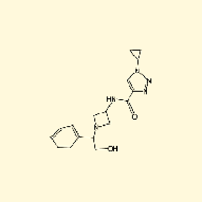 O=C(NC1CN(C(CO)c2ccccc2)C1)c1cn(C2CC2)nn1